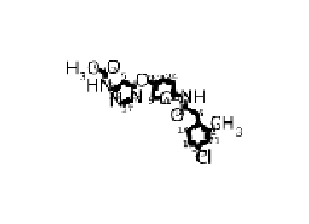 CC(=O)Nc1cc(Oc2ccc(NC(=O)Cc3ccc(Cl)cc3C)cc2)ncn1